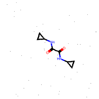 O=C(NC1CC1)C(=O)NC1CC1